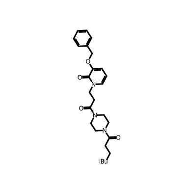 CCC(C)CCC(=O)N1CCN(C(=O)CCn2cccc(OCc3ccccc3)c2=O)CC1